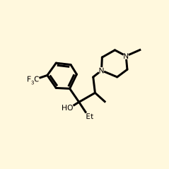 CCC(O)(c1cccc(C(F)(F)F)c1)C(C)CN1CCN(C)CC1